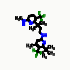 CNc1ccc(C(F)(F)F)c(C(C)(C)CCNc2cc(C)c(C(F)(F)F)c(C(C)(C)C)n2)n1